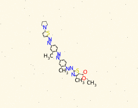 CCOC(=O)c1sc(/N=N/c2ccc(/N=N/c3ccc(/N=N/c4ccc(N5CCCC5)s4)cc3C)cc2C)nc1C